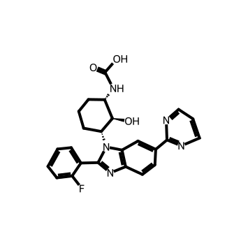 O=C(O)N[C@H]1CCC[C@@H](n2c(-c3ccccc3F)nc3ccc(-c4ncccn4)cc32)[C@@H]1O